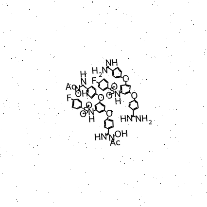 CC(=O)N(O)C(=N)c1ccc(Oc2cc(NS(=O)(=O)c3ccc(F)cc3)cc(Oc3ccc(C(=N)N(O)C(C)=O)cc3)c2)cc1.N=C(N)c1ccc(Oc2cc(NS(=O)(=O)c3ccc(F)cc3)cc(Oc3ccc(C(=N)N)cc3)c2)cc1